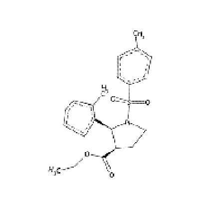 CCOC(=O)[C@@H]1CCN(S(=O)(=O)c2ccc(C)cc2)[C@@H]1c1ccccc1C